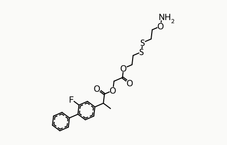 CC(C(=O)OCC(=O)OCCSSCCON)c1ccc(-c2ccccc2)c(F)c1